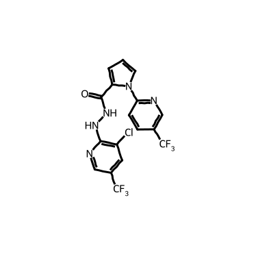 O=C(NNc1ncc(C(F)(F)F)cc1Cl)c1cccn1-c1ccc(C(F)(F)F)cn1